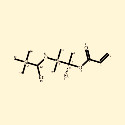 C=CC(=O)O[C@@](C)(CC)[Si](C)(C)OC(CC)[Si](C)(C)C